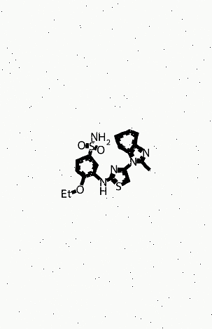 CCOc1ccc(S(N)(=O)=O)cc1Nc1nc(-n2c(C)nc3ccccc32)cs1